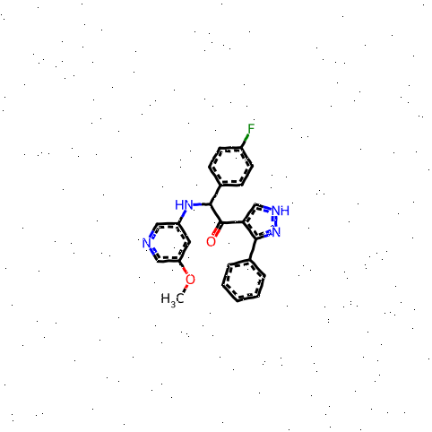 COc1cncc(NC(C(=O)c2c[nH]nc2-c2ccccc2)c2ccc(F)cc2)c1